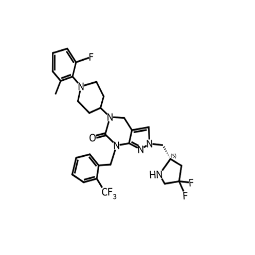 Cc1cccc(F)c1N1CCC(N2Cc3cn(C[C@@H]4CC(F)(F)CN4)nc3N(Cc3ccccc3C(F)(F)F)C2=O)CC1